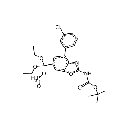 CCOC(OCC)(O[PH2]=O)c1cc(-c2cccc(Cl)c2)c2nc(NC(=O)OC(C)(C)C)oc2c1